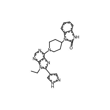 CCn1c(-c2cn[nH]c2)nc2c(N3CCC(n4c(=O)[nH]c5ccccc54)CC3)ncnc21